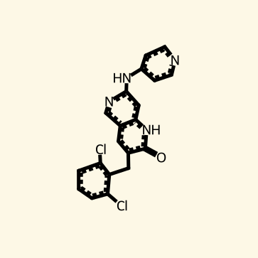 O=c1[nH]c2cc(Nc3ccncc3)ncc2cc1Cc1c(Cl)cccc1Cl